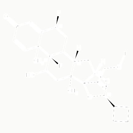 CC12CC(O)[C@@]3(F)C(C[C@H](F)C4=CC(=O)C=CC43C)[C@@H]1C[C@H]1O[C@@H](C3CCC3)OC12C(=O)COI